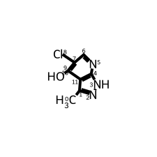 Cc1n[nH]c2ncc(Cl)c(O)c12